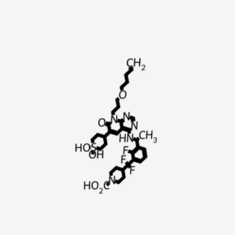 C=CCCCOCCCn1c(=O)c(C2CCS(O)(O)CC2)cc2c(NC(C)c3cccc(C(F)(F)C4CCN(C(=O)O)CC4)c3F)ncnc21